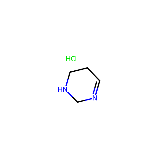 C1=NCNCC1.Cl